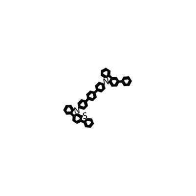 c1ccc(-c2ccc3c(c2)c2ccccc2n3-c2ccc(-c3ccc(-c4ccc(-n5c6ccccc6c6ccc7c8ccccc8sc7c65)cc4)cc3)cc2)cc1